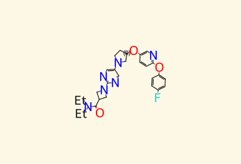 CCN(CC)C(=O)C1CN(c2ncc(N3CC[C@@H](Oc4ccc(Oc5ccc(F)cc5)nc4)C3)cn2)C1